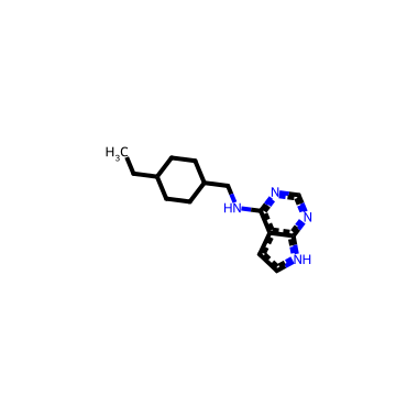 CCC1CCC(CNc2ncnc3[nH]ccc23)CC1